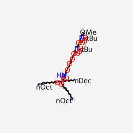 CCCCCCCC/C=C\CCCCCCCCOCC(OCCCCCCCC/C=C\CCCCCCCC)C(CCCCCCCCCCCCCCCC)OC(=O)NCCOCCOCCOCCOC(=O)CN(CCOC(=O)CN(CCOC)C(=O)OC(C)(C)C)C(=O)OC(C)(C)C